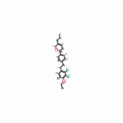 CCCC1=CCC(c2ccc(CCc3ccc(OCC)c(F)c3F)cc2)OC1